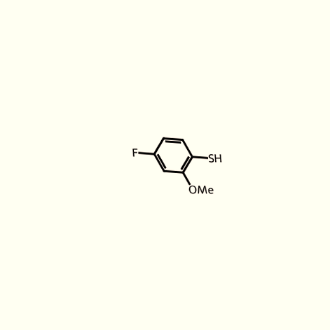 COc1cc(F)ccc1S